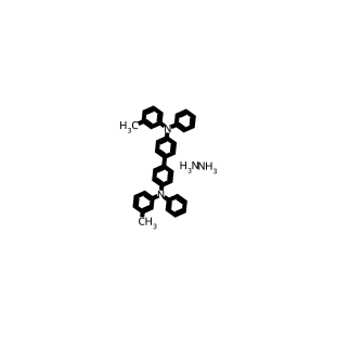 Cc1cccc(N(c2ccccc2)c2ccc(-c3ccc(N(c4ccccc4)c4cccc(C)c4)cc3)cc2)c1.N.N